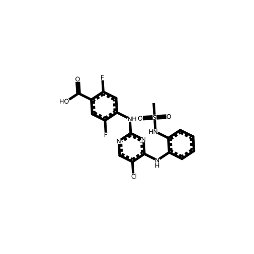 CS(=O)(=O)Nc1ccccc1Nc1nc(Nc2cc(F)c(C(=O)O)cc2F)ncc1Cl